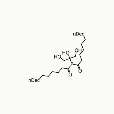 CCCCCCCCCCCCCCCC(=O)P(C(=O)CCCCCCCCCCCCCCC)C(O)(CO)CO